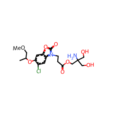 COCC(C)Oc1cc2oc(=O)n(CCC(=O)OCC(N)(CO)CO)c2cc1Cl